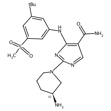 CC(C)(C)c1cc(Nc2nc(N3CCC[C@H](N)C3)ncc2C(N)=O)cc(S(C)(=O)=O)c1